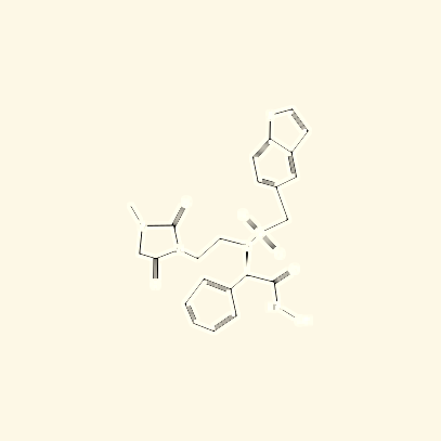 CN1CC(=O)N(CCN([C@@H](C(=O)NO)c2ccccc2)S(=O)(=O)Cc2ccc3sccc3c2)C1=O